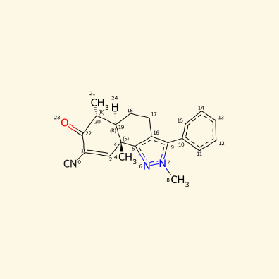 [C-]#[N+]C1=C[C@@]2(C)c3nn(C)c(-c4ccccc4)c3CC[C@@H]2[C@@H](C)C1=O